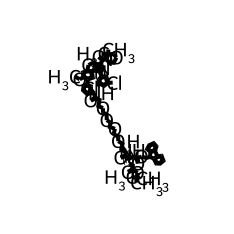 COc1cc2c(cc1-c1cccc(NC(=O)CCOCCOCCOCCOCCNC(=O)[C@@H](CCC(=O)OC(C)(C)C)NC(=O)OCC3c4ccccc4-c4ccccc43)c1)-c1c(c(C(=O)N3CCOCC3(C)C)nn1-c1cc(Cl)cc(Cl)c1)CO2